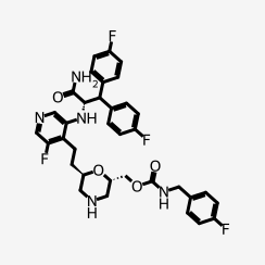 NC(=O)[C@@H](Nc1cncc(F)c1CC[C@@H]1CNC[C@@H](COC(=O)NCc2ccc(F)cc2)O1)C(c1ccc(F)cc1)c1ccc(F)cc1